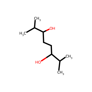 CC(C)C(O)CCC(O)C(C)C